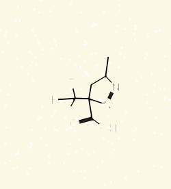 CC1CC(C(=O)O)(C(F)(F)F)N=N1